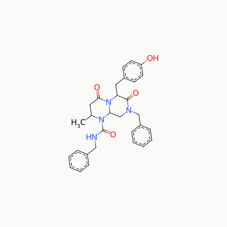 CC1CC(=O)N2C(Cc3ccc(O)cc3)C(=O)N(Cc3ccccc3)CC2N1C(=O)NCc1ccccc1